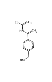 C=C(CC)NC(=C)c1ccc(CC(C)(C)C)cc1